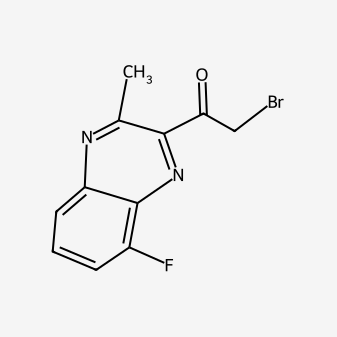 Cc1nc2cccc(F)c2nc1C(=O)CBr